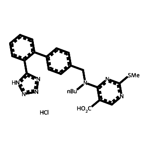 CCCCN(Cc1ccc(-c2ccccc2-c2nnn[nH]2)cc1)c1nc(SC)ncc1C(=O)O.Cl